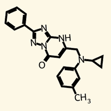 Cc1cccc(N(Cc2cc(=O)n3nc(-c4ccccc4)nc3[nH]2)C2CC2)c1